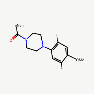 CCCCCCCCCC(=O)N1CCN(c2cc(F)c(OC)cc2F)CC1